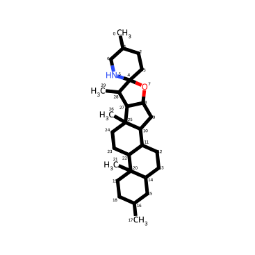 CC1CCC2(NC1)OC1CC3C4CCC5CC(C)CCC5(C)C4CCC3(C)C1C2C